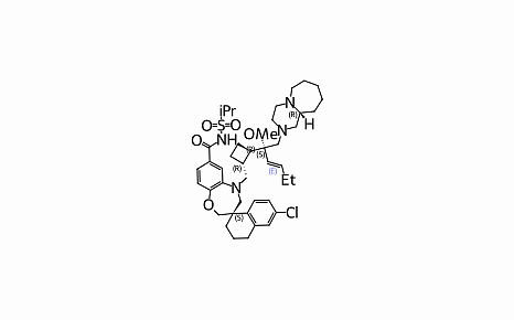 CC/C=C/[C@@](CN1CCN2CCCCC[C@@H]2C1)(OC)[C@@H]1CC[C@H]1CN1C[C@@]2(CCCc3cc(Cl)ccc32)COc2ccc(C(=O)NS(=O)(=O)C(C)C)cc21